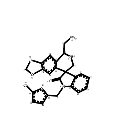 NCC1NCC2(C(=O)N(Cc3ccc(Cl)s3)c3ccccc32)c2cc3c(cc21)OCO3